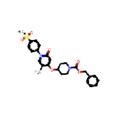 Cc1cn(-c2ccc(S(C)(=O)=O)cc2)c(=O)cc1OC1CCN(C(=O)OCc2ccccc2)CC1